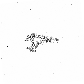 C=C1CC2CN(C(=O)OCc3ccc(O[C@H]4C[C@@H](O)C[C@@H](C=O)O4)c(C(=O)N(C)CC(C)(C)OCC(C)(C)ONC)c3)c3cc(OCCCC(=O)Nc4ccc5sc(C(=O)Nc6cc(C(=O)NCCCN(C)C)n(C)c6)cc5c4)c(OC)cc3C(=O)N2C1